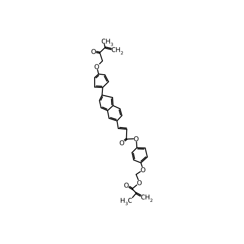 C=C(C)C(=O)COc1ccc(-c2ccc3cc(/C=C/C(=O)Oc4ccc(OCOC(=O)C(=C)C)cc4)ccc3c2)cc1